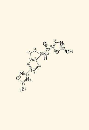 CCc1nc(-c2ccc3c(c2)CCC3NC(=O)c2cnc(O)o2)no1